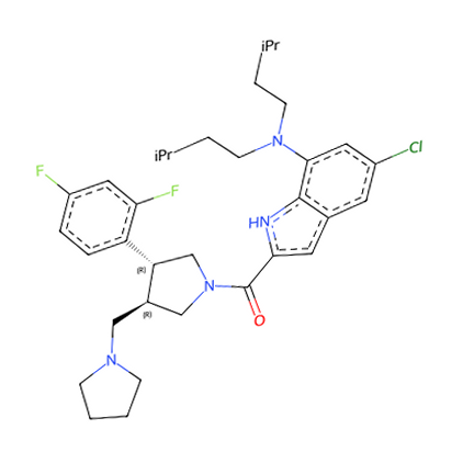 CC(C)CCN(CCC(C)C)c1cc(Cl)cc2cc(C(=O)N3C[C@@H](CN4CCCC4)[C@H](c4ccc(F)cc4F)C3)[nH]c12